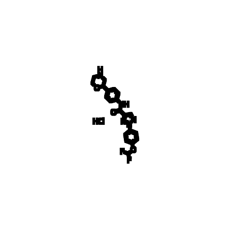 Cl.O=C(Nc1ccc(C2CNCCO2)cc1)c1cnn(-c2ccc(OC(F)F)cc2)n1